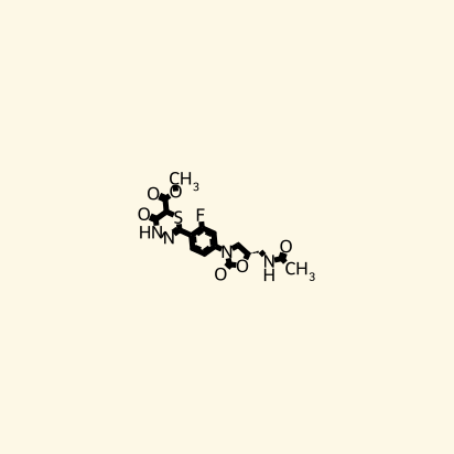 COC(=O)C1SC(c2ccc(N3C[C@H](CNC(C)=O)OC3=O)cc2F)=NNC1=O